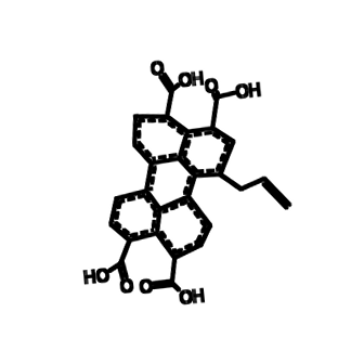 C=CCc1cc(C(=O)O)c2c(C(=O)O)ccc3c4ccc(C(=O)O)c5c(C(=O)O)ccc(c1c23)c54